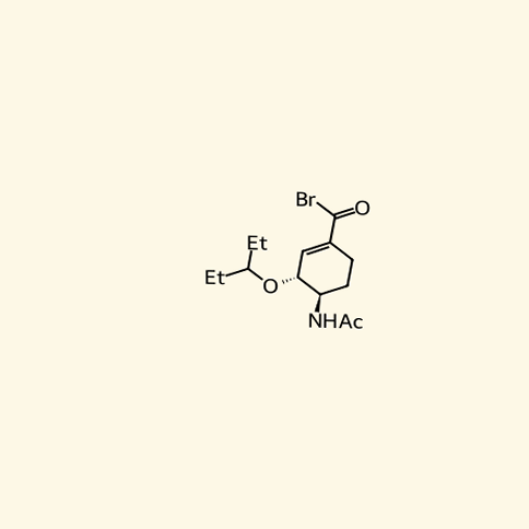 CCC(CC)O[C@@H]1C=C(C(=O)Br)CC[C@H]1NC(C)=O